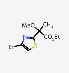 CCOC(=O)C(C)(OC)c1nc(CC)cs1